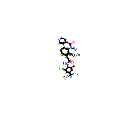 CCN(C(=O)c1ccncc1)c1cccc(C(=O)Nc2c(Cl)cc(C(F)(C(F)(F)F)C(F)(F)F)cc2Br)c1OC